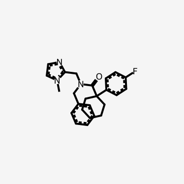 Cn1ccnc1CN(Cc1ccccc1)C(=O)C1(c2ccc(F)cc2)CCCCC1